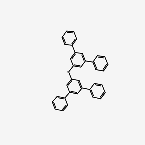 [C](c1cc(-c2ccccc2)cc(-c2ccccc2)c1)c1cc(-c2ccccc2)cc(-c2ccccc2)c1